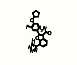 NC(=O)c1c(-c2ccc(OC3CCCC3)c(F)c2)oc2c(-c3nnn[nH]3)cccc12